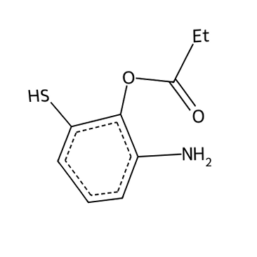 CCC(=O)Oc1c(N)cccc1S